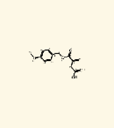 C=C(CC(=O)O)C(=O)OCc1ccc(OC)cc1